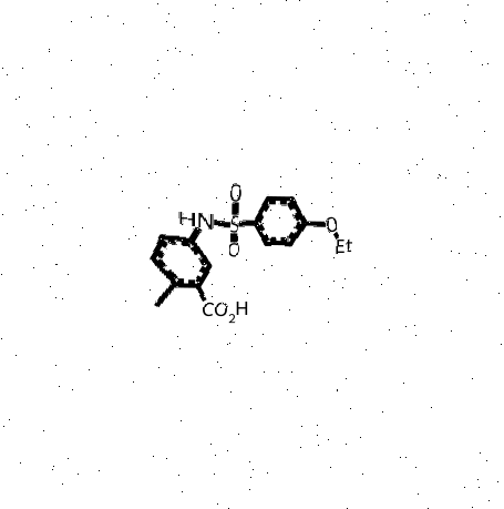 CCOc1ccc(S(=O)(=O)Nc2ccc(C)c(C(=O)O)c2)cc1